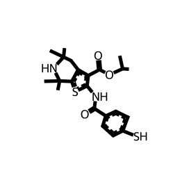 CC(C)OC(=O)c1c(NC(=O)c2ccc(S)cc2)sc2c1CC(C)(C)NC2(C)C